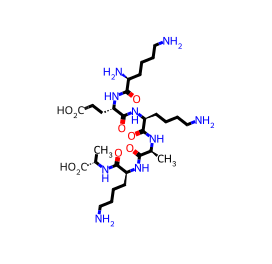 C[C@H](NC(=O)[C@H](CCCCN)NC(=O)[C@H](C)NC(=O)[C@H](CCCCN)NC(=O)[C@H](CCC(=O)O)NC(=O)[C@@H](N)CCCCN)C(=O)O